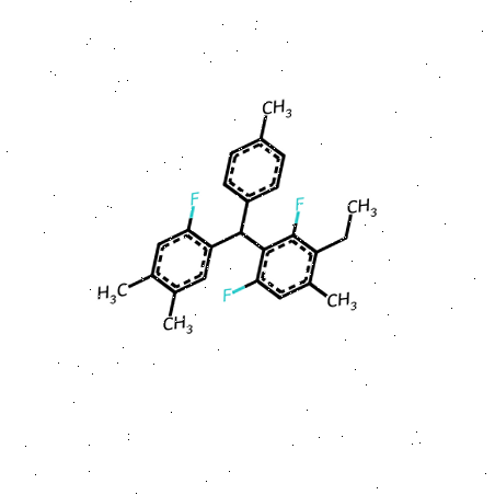 CCc1c(C)cc(F)c(C(c2ccc(C)cc2)c2cc(C)c(C)cc2F)c1F